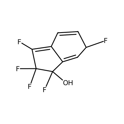 OC1(F)C2=CC(F)C=CC2=C(F)C1(F)F